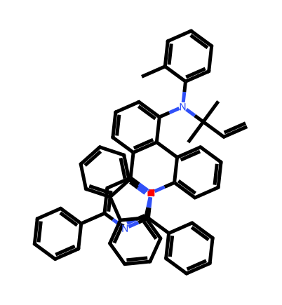 C=CC(C)(C)N(c1ccccc1C)c1cccc(-c2cc(-c3ccccc3)nc(-c3ccccc3)n2)c1-c1ccccc1-n1c2ccccc2c2ccccc21